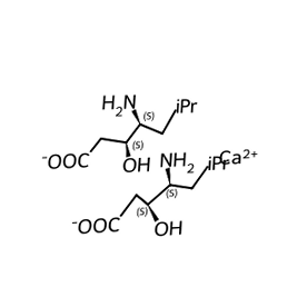 CC(C)C[C@H](N)[C@@H](O)CC(=O)[O-].CC(C)C[C@H](N)[C@@H](O)CC(=O)[O-].[Ca+2]